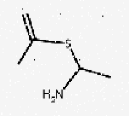 C=C(C)SC(C)N